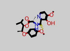 COc1ccc(O[C@@H](C)[C@H](OC(=O)[C@H](C)NC(=S)c2nccc(OC)c2O)C(C)C)cc1